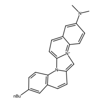 CCCCc1ccc2c(ccc3c[n+]4c5ccc(N(C)C)cc5ccc4n32)c1